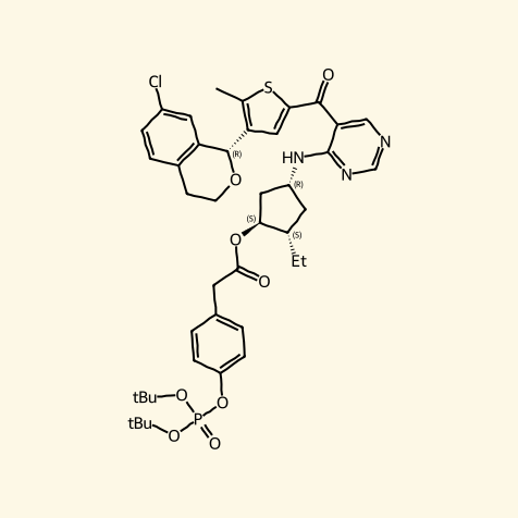 CC[C@H]1C[C@@H](Nc2ncncc2C(=O)c2cc([C@@H]3OCCc4ccc(Cl)cc43)c(C)s2)C[C@@H]1OC(=O)Cc1ccc(OP(=O)(OC(C)(C)C)OC(C)(C)C)cc1